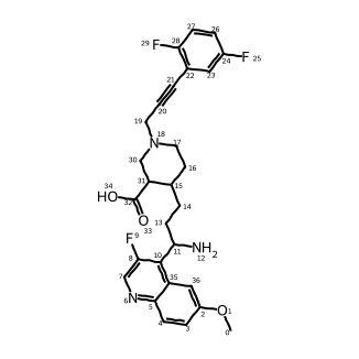 COc1ccc2ncc(F)c(C(N)CCC3CCN(CC#Cc4cc(F)ccc4F)CC3C(=O)O)c2c1